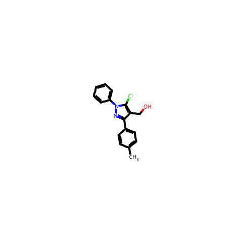 Cc1ccc(-c2nn(-c3ccccc3)c(Cl)c2CO)cc1